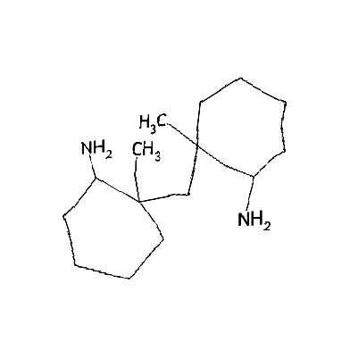 CC1(CC2(C)CCCCC2N)CCCCC1N